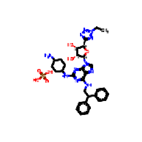 CCn1nnc([C@H]2O[C@@H](n3cnc4c(NCC(c5ccccc5)c5ccccc5)nc(NC5CCC(N)CC5)nc43)[C@H](O)[C@@H]2O)n1.O=S(=O)(O)O